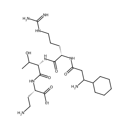 CCC(=O)[C@H](CCN)NC(=O)[C@@H](NC(=O)[C@H](CCCNC(=N)N)NC(=O)CC(N)C1CCCCC1)C(C)O